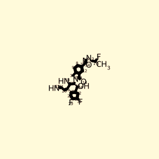 CC(F)c1nnc(-c2ccc3c(c2)C(=O)N([C@H](C(=N)/C=C\C=N)C(O)c2ccc(F)c(F)c2)C3)o1